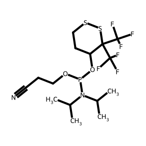 CC(C)N(C(C)C)P(OCCC#N)OC1CCSSC1(C(F)(F)F)C(F)(F)F